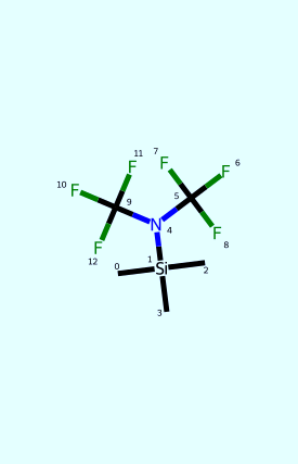 C[Si](C)(C)N(C(F)(F)F)C(F)(F)F